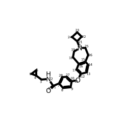 O=C(NCC1CC1)c1ccc(Oc2ccc3c(c2)CCN(C2CCC2)CC3)cc1